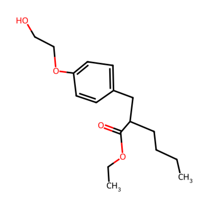 CCCCC(Cc1ccc(OCCO)cc1)C(=O)OCC